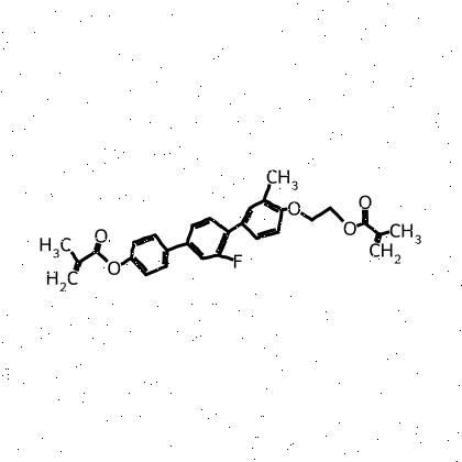 C=C(C)C(=O)OCCOc1ccc(-c2ccc(-c3ccc(OC(=O)C(=C)C)cc3)cc2F)cc1C